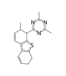 Cc1nc(C)nc(C2c3sc4c(c3C=CC2C)C=CCC4)n1